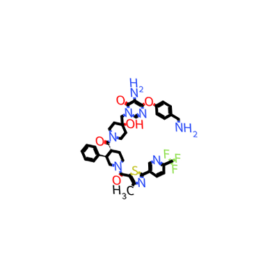 Cc1nc(-c2ccc(C(F)(F)F)nc2)sc1C(=O)N1CC[C@@H](C(=O)N2CCC(O)(Cn3cnc(Oc4ccc(CN)cc4)c(N)c3=O)CC2)[C@H](c2ccccc2)C1